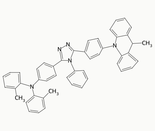 Cc1ccccc1N(c1ccc(-c2nnc(-c3ccc(N4c5ccccc5C(C)c5ccccc54)cc3)n2-c2ccccc2)cc1)c1ccccc1C